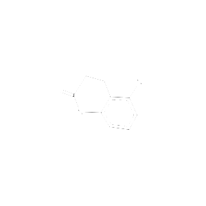 [NH]c1cccc2c1CCC(=O)N2